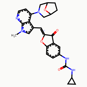 Cn1cc(/C=C2\Oc3ccc(NC(=O)NC4CC4)cc3C2=O)c2c(N3CC4CCC(C3)O4)ccnc21